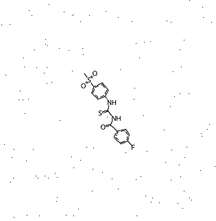 CS(=O)(=O)c1ccc(NC(=S)NC(=O)c2ccc(F)cc2)cc1